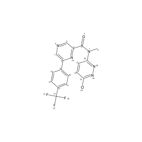 CN(C(=O)c1cncc(-c2ccc(C(F)(F)F)cc2)n1)c1ccc(Cl)nn1